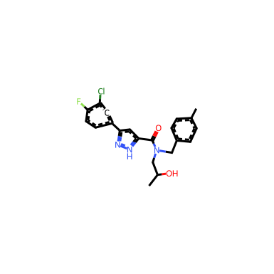 Cc1ccc(CN(CC(C)O)C(=O)c2cc(-c3ccc(F)c(Cl)c3)n[nH]2)cc1